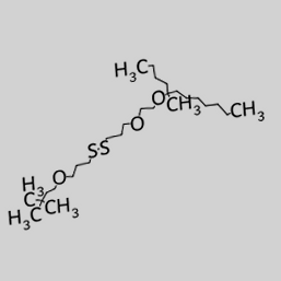 CCCCCCCC(C)(CCCC)OCCOCCCSSCCCOCCC(C)(C)C